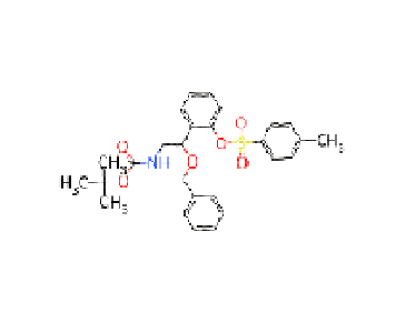 Cc1ccc(S(=O)(=O)Oc2ccccc2C(CNC(=O)OC(C)(C)C)OCc2ccccc2)cc1